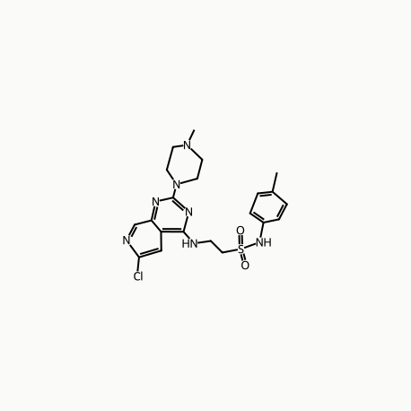 Cc1ccc(NS(=O)(=O)CCNc2nc(N3CCN(C)CC3)nc3cnc(Cl)cc23)cc1